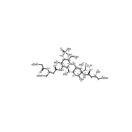 CCCCCCCCCCCC(=O)O[C@H](CCCCCCCCCCC)CC(=O)N[C@H]1[C@@H](O)[C@H](OP(=O)(O)O)[C@@H](CO)O[C@H]1C(O)[C@H]1O[C@H](O)[C@@](CC(=O)O)(NC(=O)C[C@H](O)CCCCCCCCCCC)[C@@H](O)[C@@H]1O